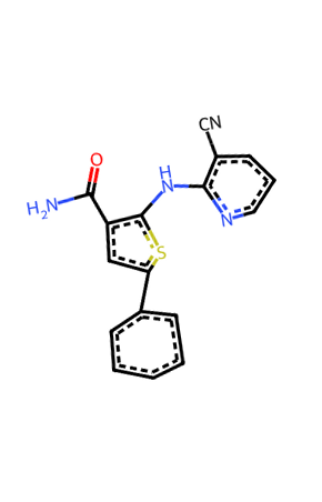 N#Cc1cccnc1Nc1sc(-c2ccccc2)cc1C(N)=O